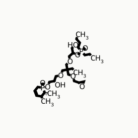 CCCCP(=O)(CCC)OC(CO)COCC(CC)(COCC(O)COP1(=O)CC=CC(C)[C@H]1C)COCC1CO1